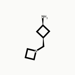 N[C@H]1C[C@@H](CN2CCC2)C1